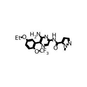 CCOc1ccc(OC(F)(F)F)c(-c2ncc(NC(=O)c3ccnn3C)nc2N)c1